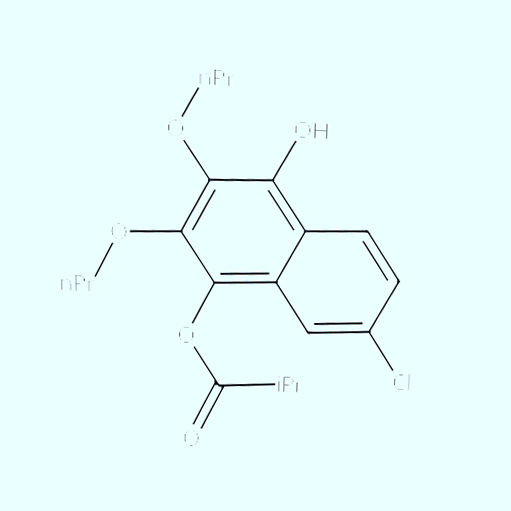 CCCOc1c(OCCC)c(OC(=O)C(C)C)c2cc(Cl)ccc2c1O